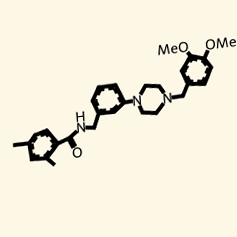 COc1ccc(CN2CCN(c3cccc(CNC(=O)c4ccc(C)cc4C)c3)CC2)cc1OC